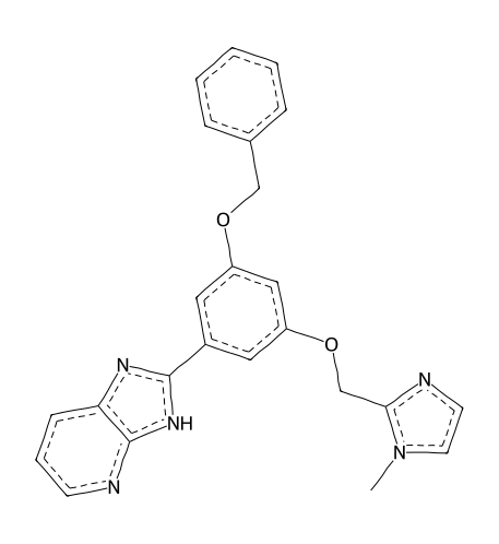 Cn1ccnc1COc1cc(OCc2ccccc2)cc(-c2nc3cccnc3[nH]2)c1